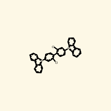 Clc1cc(-n2c3ccccc3c3ccccc32)ccc1-c1ccc(-n2c3ccccc3c3ccccc32)cc1Cl